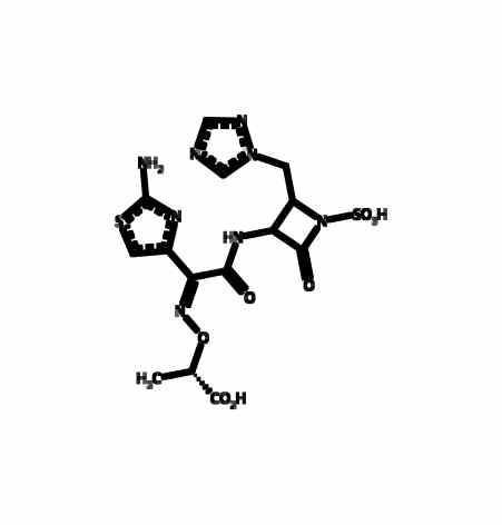 C[C@H](O/N=C(\C(=O)NC1C(=O)N(S(=O)(=O)O)C1Cn1cncn1)c1csc(N)n1)C(=O)O